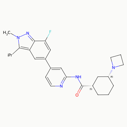 CC(C)c1c2cc(-c3ccnc(NC(=O)[C@H]4CCC[C@@H](N5CCC5)C4)c3)cc(F)c2nn1C